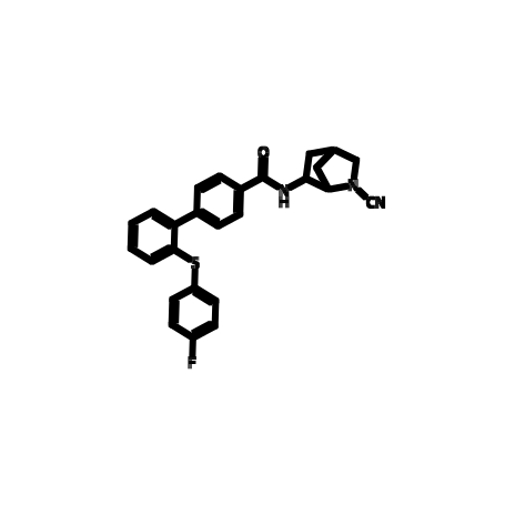 N#CN1CC2CC(NC(=O)c3ccc(-c4ccccc4Sc4ccc(F)cc4)cc3)C1C2